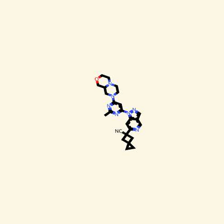 Cc1nc(N2CCN3CCOCC3C2)cc(-n2ncc3cnc(C4(C#N)CC5(CC5)C4)cc32)n1